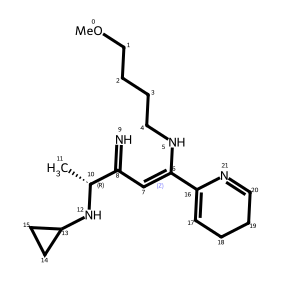 COCCCCN/C(=C\C(=N)[C@@H](C)NC1CC1)C1=CCCC=N1